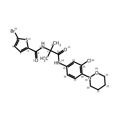 CC(C)(NC(=O)c1ccc(Br)s1)C(=O)Nc1ccc(N2CCCCO2)c(Cl)c1